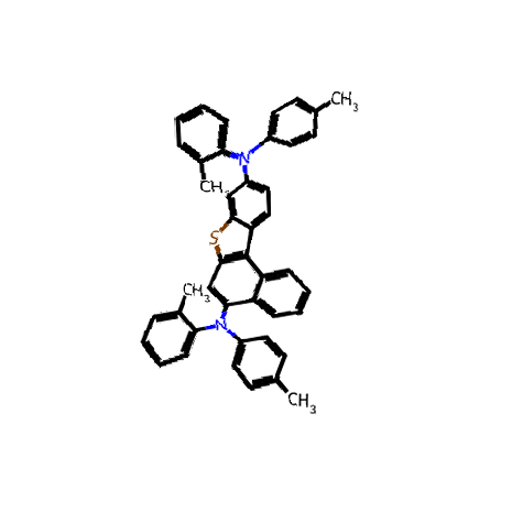 Cc1ccc(N(c2ccc3c(c2)sc2cc(N(c4ccc(C)cc4)c4ccccc4C)c4ccccc4c23)c2ccccc2C)cc1